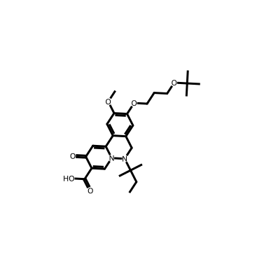 CCC(C)(C)N1Cc2cc(OCCCOC(C)(C)C)c(OC)cc2-c2cc(=O)c(C(=O)O)cn21